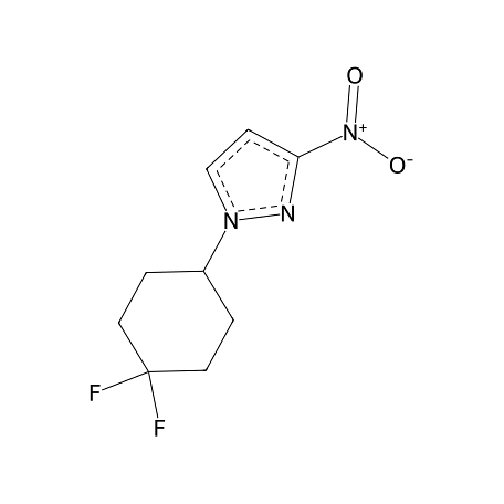 O=[N+]([O-])c1ccn(C2CCC(F)(F)CC2)n1